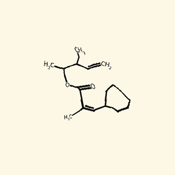 C=CC(C)C(C)OC(=O)C(C)=CC1CCCCC1